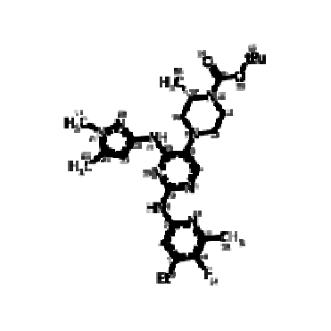 CCc1cc(Nc2ncc(N3CCN(C(=O)OC(C)(C)C)[C@@H](C)C3)c(Nc3cc(C)n(C)n3)n2)nc(C)c1F